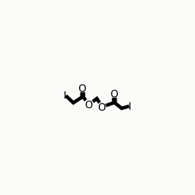 O=C(CI)OCOC(=O)CI